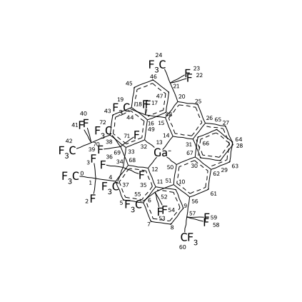 FC(F)(F)C(F)(F)c1cc2ccccc2[c]([Ga-]([c]2c(C(F)(F)C(F)(F)F)c(C(F)(F)C(F)(F)F)cc3ccccc23)([c]2c(C(F)(F)C(F)(F)F)c(C(F)(F)C(F)(F)F)cc3ccccc23)[c]2c(C(F)(F)C(F)(F)F)c(C(F)(F)C(F)(F)F)cc3ccccc23)c1C(F)(F)C(F)(F)F